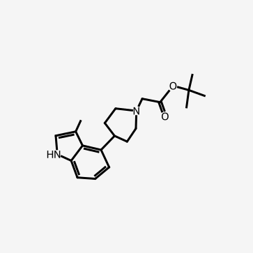 Cc1c[nH]c2cccc(C3CCN(CC(=O)OC(C)(C)C)CC3)c12